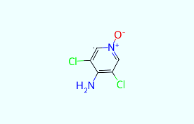 Nc1c(Cl)[c][n+]([O-])cc1Cl